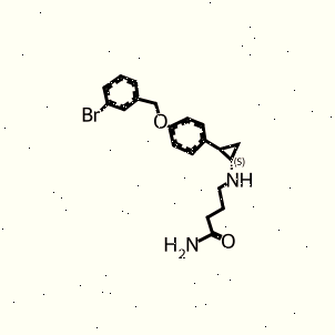 NC(=O)CCCN[C@H]1CC1c1ccc(OCc2cccc(Br)c2)cc1